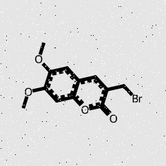 COc1cc2cc(CBr)c(=O)oc2cc1OC